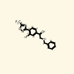 O=C(COCc1ccccc1)c1ccc(-c2noc(C(F)(F)F)n2)c(F)c1